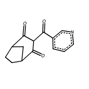 O=C(c1cccnc1)C1C(=O)C2CCC(C2)C1=O